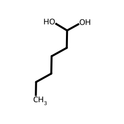 CCCCCC(O)O